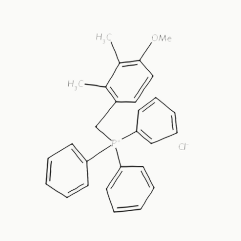 COc1ccc(C[P+](c2ccccc2)(c2ccccc2)c2ccccc2)c(C)c1C.[Cl-]